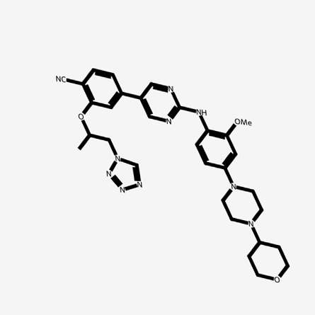 COc1cc(N2CCN(C3CCOCC3)CC2)ccc1Nc1ncc(-c2ccc(C#N)c(OC(C)Cn3cnnn3)c2)cn1